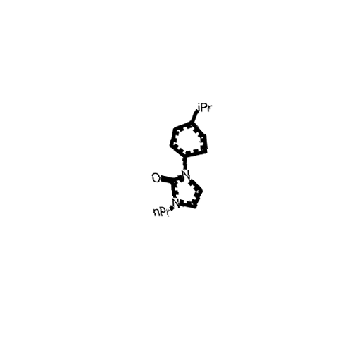 CCCn1ccn(-c2ccc(C(C)C)cc2)c1=O